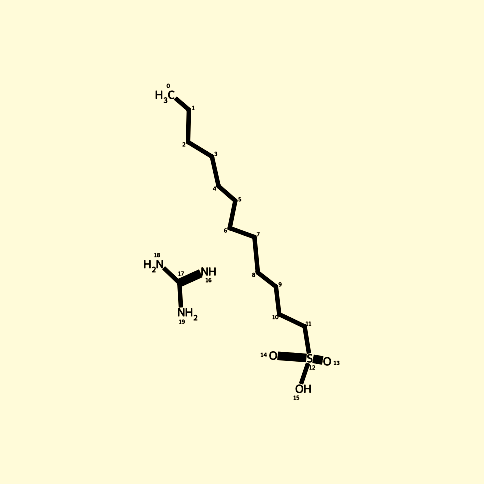 CCCCCCCCCCCCS(=O)(=O)O.N=C(N)N